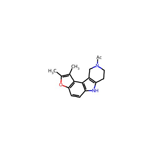 CC(=O)N1CCc2[nH]c3ccc4oc(C)c(C)c4c3c2C1